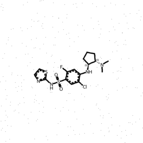 CN(C)[C@H]1CCC[C@@H]1Nc1cc(F)c(S(=O)(=O)Nc2nccs2)cc1Cl